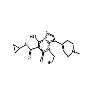 CC(C)Cn1c(=O)c(C(=O)NC2CC2)c(O)n2ncc(C3=CCN(C)CC3)c12